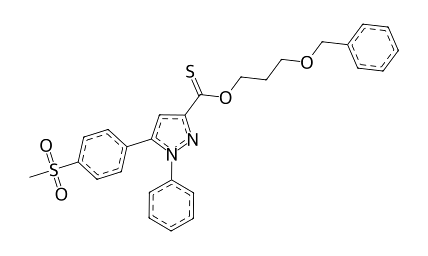 CS(=O)(=O)c1ccc(-c2cc(C(=S)OCCCOCc3ccccc3)nn2-c2ccccc2)cc1